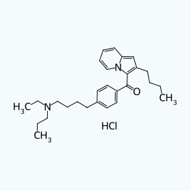 CCCCc1cc2ccccn2c1C(=O)c1ccc(CCCCN(CC)CCC)cc1.Cl